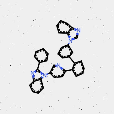 c1ccc(-c2nc3ccccc3n2-c2ccc(-c3ccccc3-c3cccc(-n4cnc5ccccc54)c3)nc2)cc1